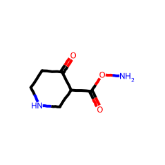 NOC(=O)C1CNCCC1=O